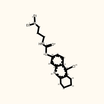 CCN(CC)CCCNC(=O)Oc1ccc2c(Cl)c3c(nc2c1)CCCC3